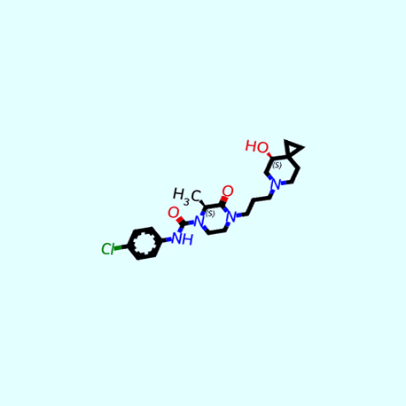 C[C@H]1C(=O)N(CCCN2CCC3(CC3)[C@H](O)C2)CCN1C(=O)Nc1ccc(Cl)cc1